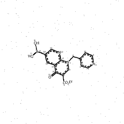 CCOC(=O)c1cn(Cc2ccncc2)c2ncc(B(O)O)cc2c1=O